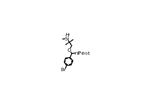 CCCCCC(OCC(C)(C)[SiH](C)C)c1ccc(Br)cc1